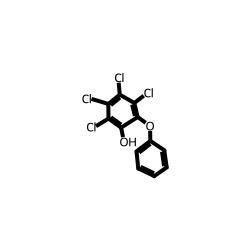 Oc1c(Cl)c(Cl)c(Cl)c(Cl)c1Oc1ccccc1